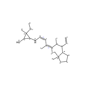 C=CC(C(C)/C(C)=C(C)\C=C/NC1C(O)C1(C)OC)C1CCC[Si]1(C)C